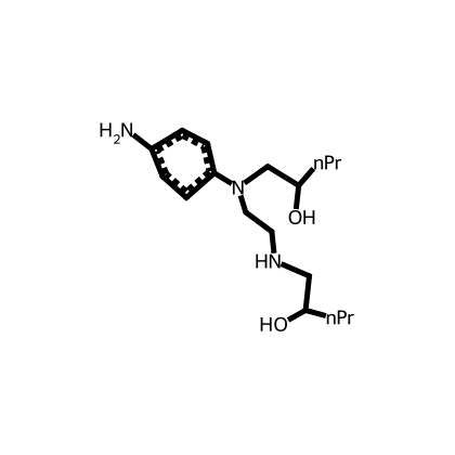 CCCC(O)CNCCN(CC(O)CCC)c1ccc(N)cc1